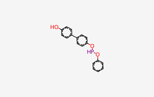 Oc1ccc(-c2ccc(OPOc3ccccc3)cc2)cc1